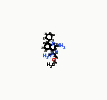 CCOCc1nc2c(N)nc3c(C4CCCCC4)cccc3c2n1N